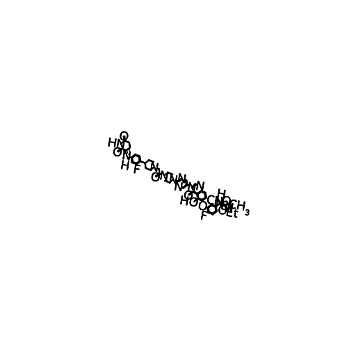 CCN(C)S(=O)(=O)Nc1ccc(F)c(Oc2ccc3ncn(-c4cnc(N5CCN(C(=O)CN6CCC(c7ccc(N[C@H]8CCC(=O)NC8=O)cc7F)CC6)CC5)nc4)c(=O)c3c2O)c1C#N